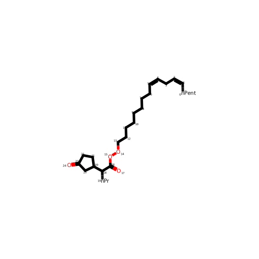 CCCCC/C=C\C/C=C\CCCCCCCCOOC(=O)C(CCC)C1CCC(=O)C1